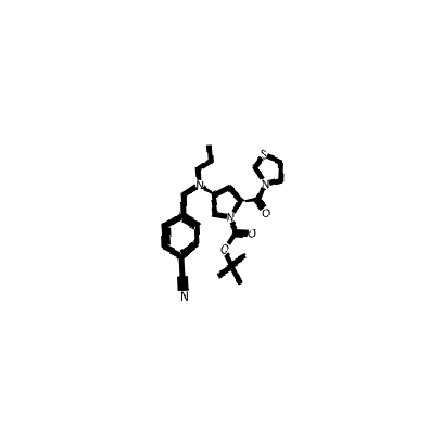 CCCN(Cc1ccc(C#N)cc1)[C@H]1C[C@@H](C(=O)N2CCSC2)N(C(=O)OC(C)(C)C)C1